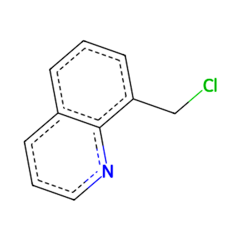 ClCc1cccc2cccnc12